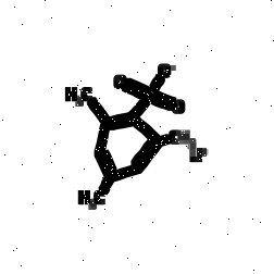 Cc1cc(C)c(S(=O)(=O)[O-])c(C)c1.[Li+]